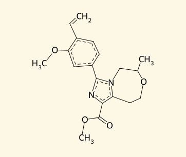 C=Cc1ccc(-c2nc(C(=O)OC)c3n2CC(C)OCC3)cc1OC